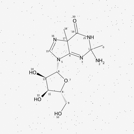 CC1(N)N=C2N([C@@H]3O[C@H](CO)[C@@H](O)[C@H]3O)C=NC2(C)C(=O)N1